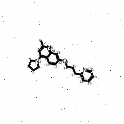 Cc1cc(N2CCCC2)c2ccc(OCCCc3ccccn3)cc2n1